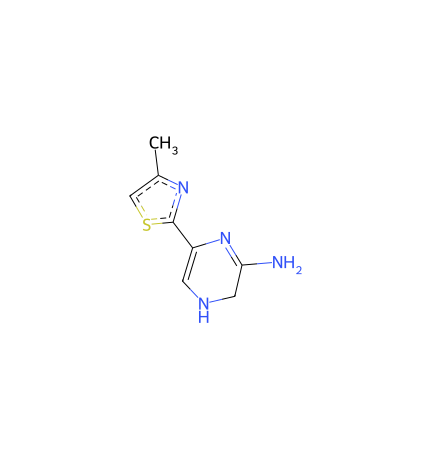 Cc1csc(C2=CNCC(N)=N2)n1